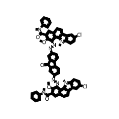 COc1c(C(=O)N(C)c2ccccc2)cc2ccc3c4cc(Cl)ccc4n(C)c3c2c1N=Nc1ccc2c(c1)C(=O)c1cc(N=Nc3c(OC)c(C(=O)N(C)c4ccccc4)cc4ccc5c6cc(Cl)ccc6n(C)c5c34)ccc1-2